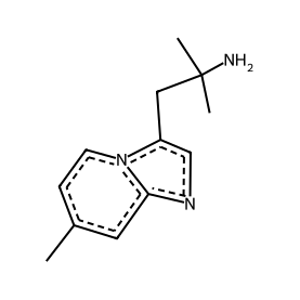 Cc1ccn2c(CC(C)(C)N)cnc2c1